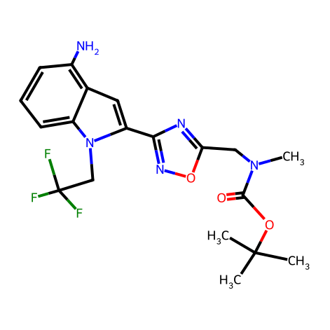 CN(Cc1nc(-c2cc3c(N)cccc3n2CC(F)(F)F)no1)C(=O)OC(C)(C)C